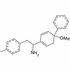 COC1(c2ccccc2)C=CC(C(N)Cc2ccc(F)cc2)=CC1